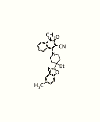 CCC1(c2nc3cc(C)ccc3o2)CCN(c2c(C#N)c(=O)n(C)c3ccccc23)CC1